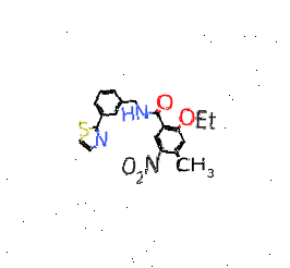 CCOc1cc(C)c([N+](=O)[O-])cc1C(=O)NCc1cccc(-c2nccs2)c1